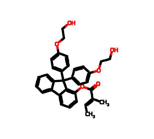 CC=C(C)C(=O)Oc1cccc2c1C(c1ccc(OCCO)cc1)(c1ccc(OCCO)cc1)c1ccccc1-2